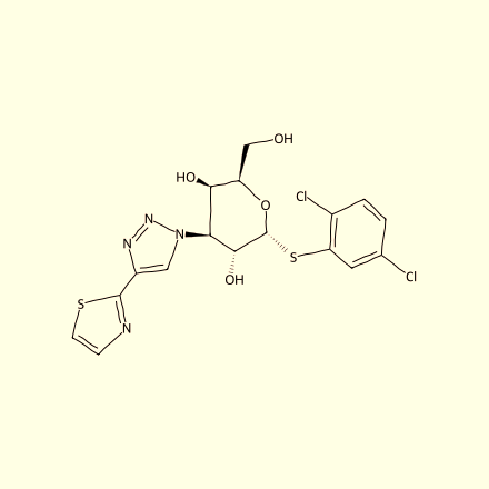 OC[C@H]1O[C@H](Sc2cc(Cl)ccc2Cl)[C@H](O)[C@@H](n2cc(-c3nccs3)nn2)[C@H]1O